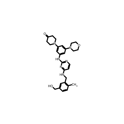 Cc1ccc(CO)cc1CNc1ccnc(Nc2cc(N3CCOCC3)cc(N3CCC(=O)CC3)c2)n1